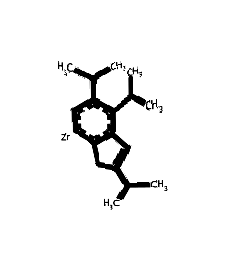 CC(C)C1=Cc2c(ccc(C(C)C)c2C(C)C)[CH]1.[Zr]